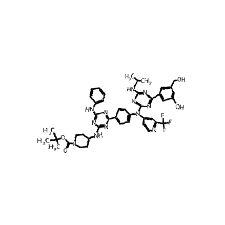 CC(C)Nc1nc(-c2cc(O)cc(CO)c2)nc(N(c2ccc(-c3nc(Nc4ccccc4)nc(NC4CCN(C(=O)OC(C)(C)C)CC4)n3)cc2)c2ccnc(C(F)(F)F)c2)n1